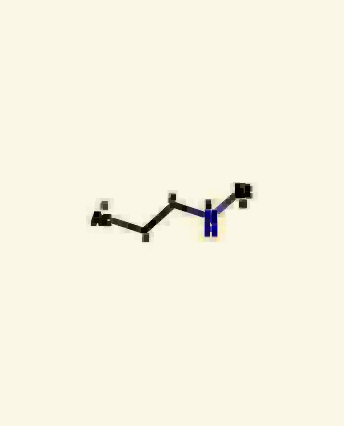 CCNCCC(C)=O